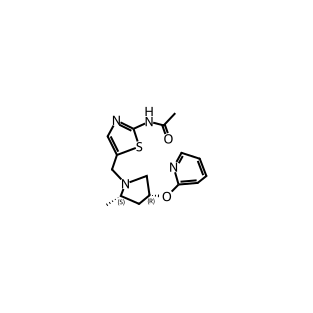 CC(=O)Nc1ncc(CN2C[C@H](Oc3ccccn3)C[C@@H]2C)s1